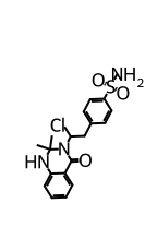 CC1(C)Nc2ccccc2C(=O)N1C(Cl)Cc1ccc(S(N)(=O)=O)cc1